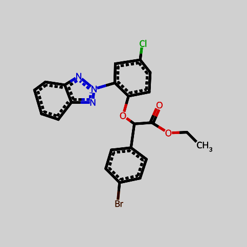 CCOC(=O)C(Oc1ccc(Cl)cc1-n1nc2ccccc2n1)c1ccc(Br)cc1